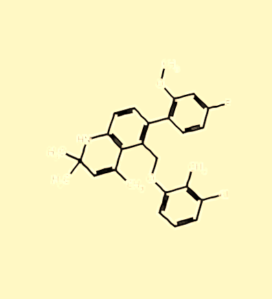 COc1cc(F)ccc1-c1ccc2c(c1COc1cccc(Cl)c1C)C(C)=CC(C)(C)N2